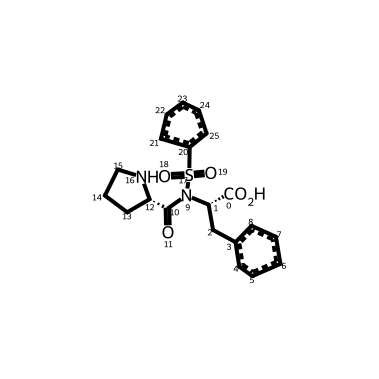 O=C(O)[C@H](Cc1ccccc1)N(C(=O)[C@@H]1CCCN1)S(=O)(=O)c1ccccc1